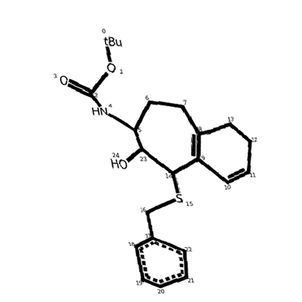 CC(C)(C)OC(=O)NC1CCC2=C(C=CCC2)C(SCc2ccccc2)C1O